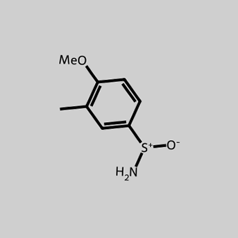 COc1ccc([S+](N)[O-])cc1C